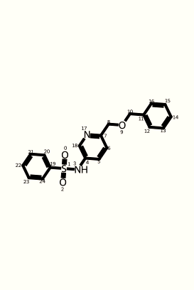 O=S(=O)(Nc1ccc(COCc2ccccc2)nc1)c1ccccc1